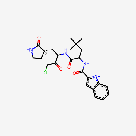 CC(C)(C)CC(NC(=O)c1cc2ccccc2[nH]1)C(=O)NC(C[C@@H]1CCNC1=O)C(=O)CCl